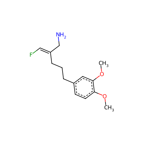 COc1ccc(CCC/C(=C\F)CN)cc1OC